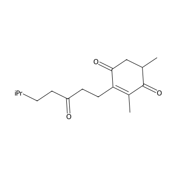 CC1=C(CCC(=O)CCC(C)C)C(=O)CC(C)C1=O